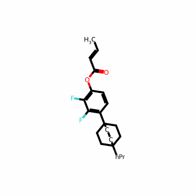 CC=CC(=O)Oc1ccc(C23CCC(CCC)(CC2)CC3)c(F)c1F